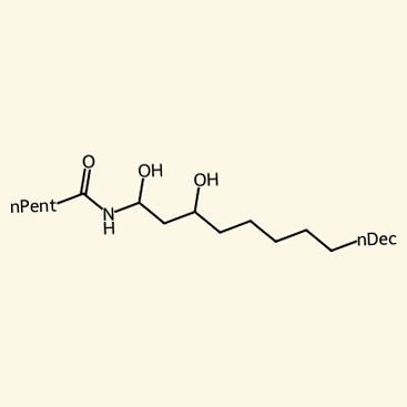 CCCCCCCCCCCCCCCC(O)CC(O)NC(=O)CCCCC